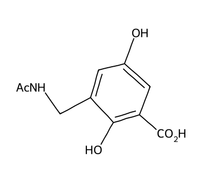 CC(=O)NCc1cc(O)cc(C(=O)O)c1O